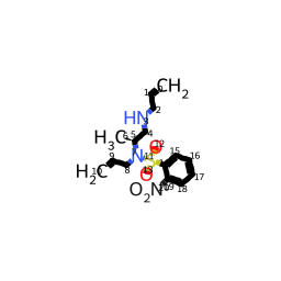 C=CCNC[C@@H](C)N(CC=C)S(=O)(=O)c1ccccc1[N+](=O)[O-]